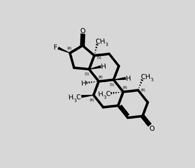 C[C@@H]1CC2=CC(=O)C[C@@H](C)[C@]2(C)[C@H]2CC[C@]3(C)C(=O)[C@H](F)C[C@H]3[C@H]12